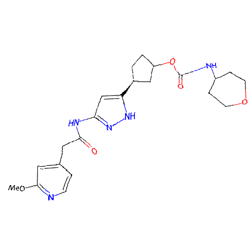 COc1cc(CC(=O)Nc2cc([C@H]3CCC(OC(=O)NC4CCOCC4)C3)[nH]n2)ccn1